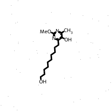 COc1nc(C)c(O)c(CCCCCCCCCCO)n1